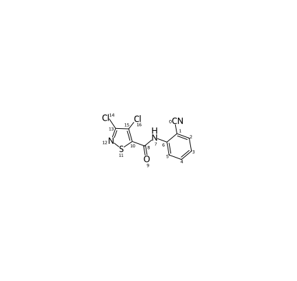 N#Cc1ccccc1NC(=O)c1snc(Cl)c1Cl